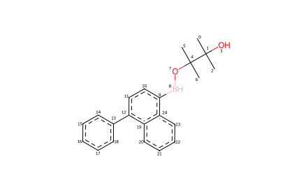 CC(C)(O)C(C)(C)OBc1ccc(-c2ccccc2)c2ccccc12